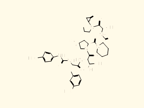 Cc1ccc(NC(=O)N[C@@H](Cc2cccc(C)c2)C(=O)N[C@H](C(=O)N2C[C@H](O)C[C@H]2C(=O)N2CCCC[C@H]2C(=O)N[C@@H](C)C(=O)N2C[C@H](C)C[C@@]23CC3=O)[C@H](C)O)cc1